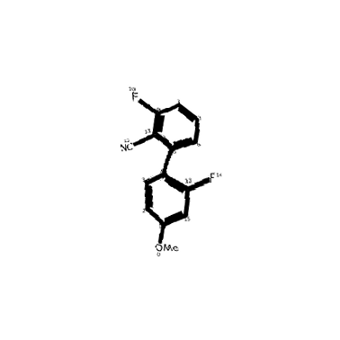 COc1ccc(-c2cccc(F)c2C#N)c(F)c1